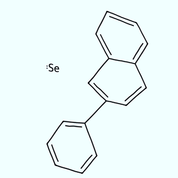 [Se].c1ccc(-c2ccc3ccccc3c2)cc1